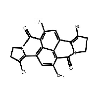 [C-]#[N+]C1=c2c3cc(C)c4c(=O)n5c(c6cc(C)c(c(=O)n2CC1)c3c64)=C(C#N)CC5